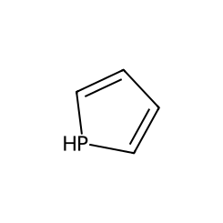 c1cc[pH]c1